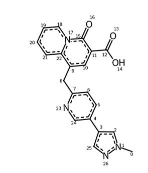 Cn1cc(-c2ccc(Cc3cc(C(=O)O)c(=O)n4ccccc34)nc2)cn1